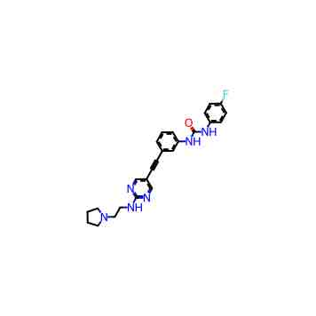 O=C(Nc1ccc(F)cc1)Nc1cccc(C#Cc2cnc(NCCN3CCCC3)nc2)c1